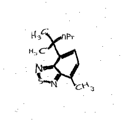 CCCC(C)(C)c1ccc(C)c2nsnc12